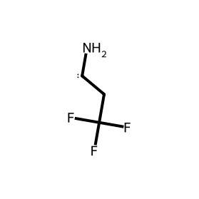 N[C]CC(F)(F)F